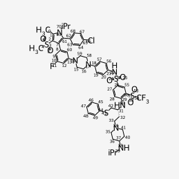 Cc1c(S(C)(=O)=O)c(-c2cc(F)cc(N3CCN(c4ccc(NS(=O)(=O)c5ccc(N[C@H](CCN6CCC(NC(C)C)CC6)CSc6ccccc6)c(S(=O)(=O)C(F)(F)F)c5)cc4)CC3)c2)c(-c2ccc(Cl)cc2)n1C(C)C